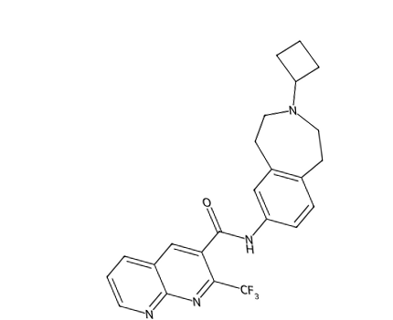 O=C(Nc1ccc2c(c1)CCN(C1CCC1)CC2)c1cc2cccnc2nc1C(F)(F)F